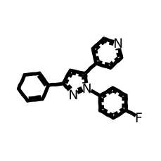 Fc1ccc(-n2nc(C3=CCCC=C3)cc2-c2ccncc2)cc1